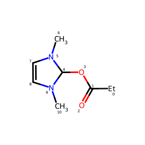 CCC(=O)OC1N(C)C=CN1C